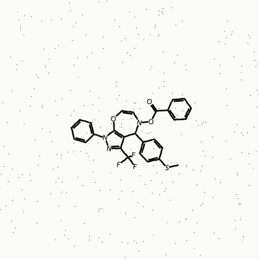 CSc1ccc(C2c3c(C(F)(F)F)nn(-c4ccccc4)c3OC=CN2OC(=O)c2ccccc2)cc1